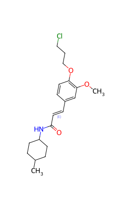 COc1cc(/C=C/C(=O)NC2CCC(C)CC2)ccc1OCCCCl